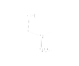 CNN(C)CO